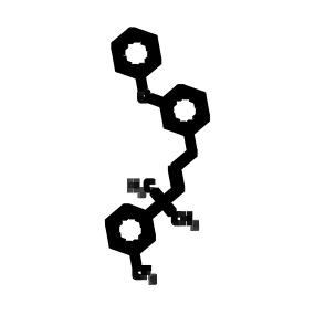 CC(C)(/C=C/Cc1cccc(Oc2ccccc2)c1)c1cccc(C(F)(F)F)c1